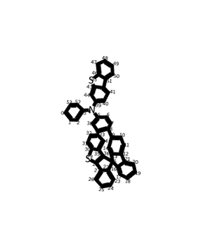 c1ccc(N(c2ccc(-c3ccc4c(c3)C3(c5ccccc5-4)c4ccccc4-c4sc5ccccc5c43)cc2)c2ccc3c(c2)sc2ccccc23)cc1